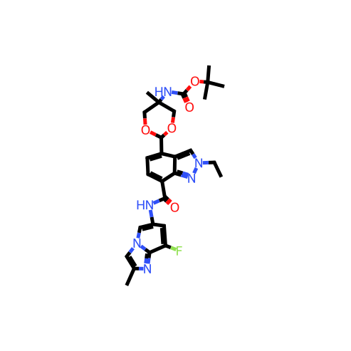 CCn1cc2c(C3OCC(C)(NC(=O)OC(C)(C)C)CO3)ccc(C(=O)Nc3cc(F)c4nc(C)cn4c3)c2n1